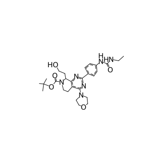 CCNC(=O)Nc1ccc(-c2nc3c(c(N4CCOCC4)n2)CCN(C(=O)OC(C)(C)C)C3CCO)cc1